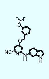 N#Cc1cc(OCc2cccc(OC(F)F)c2)cc(Nc2ccc3cc[nH]c3c2)n1